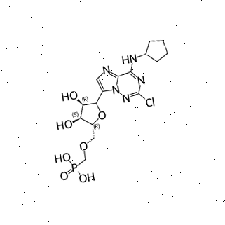 O=P(O)(O)COC[C@H]1OC(c2cnc3c(NC4CCCC4)nc(Cl)nn23)[C@H](O)[C@@H]1O